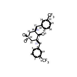 O=C1/C(=C/c2cccc(C(F)(F)F)c2)CS(=O)(=O)C/C1=C/c1cccc(C(F)(F)F)c1